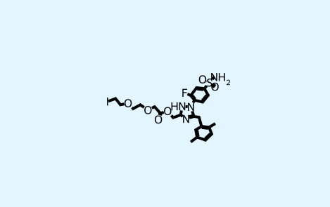 Cc1ccc(C)c(CC2=NC(COC(=O)COCCOCCI)NN2c2ccc(S(N)(=O)=O)cc2F)c1